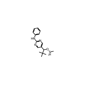 C[SiH](C)OC(c1cnc(Nc2ccccc2)nc1)C(C)(C)C